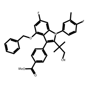 COC(=O)c1ccc(-c2c(C(C)(C)CC#N)n(-c3ccc(F)c(C)c3)c3cc(F)cc(OCc4ccccc4)c23)cc1